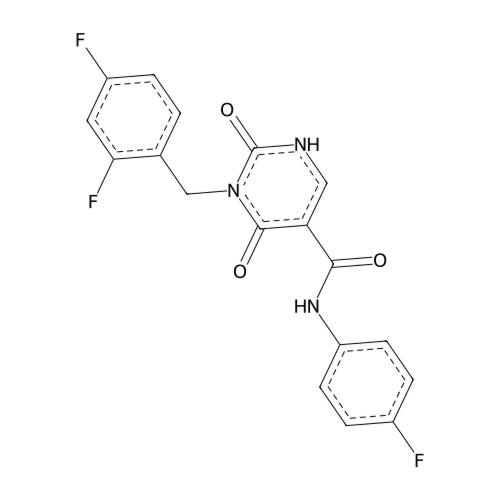 O=C(Nc1ccc(F)cc1)c1c[nH]c(=O)n(Cc2ccc(F)cc2F)c1=O